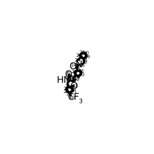 CC12CC(NC(=O)N1c1cccc(C(=O)N3CCc4ccccc4C3)c1)c1ccc(C(F)(F)F)cc1O2